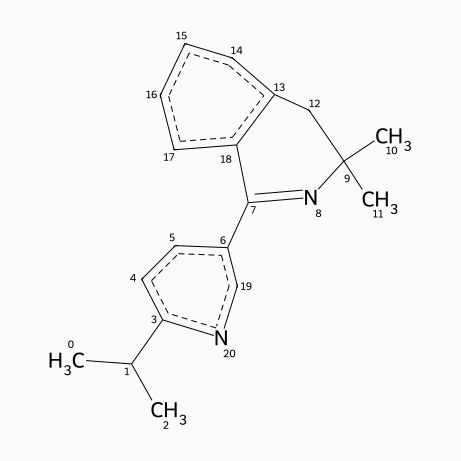 CC(C)c1ccc(C2=NC(C)(C)Cc3ccccc32)cn1